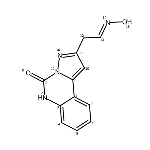 O=c1[nH]c2ccccc2c2cc(CC=NO)nn12